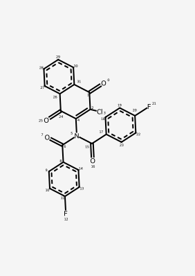 O=C1C(Cl)=C(N(C(=O)c2ccc(F)cc2)C(=O)c2ccc(F)cc2)C(=O)c2ccccc21